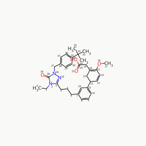 CCn1c(CCCc2cccc(C3C=CC(OC)=C(CC(=O)O)C3)c2)nn(Cc2ccc(C(C)(C)C)cc2)c1=O